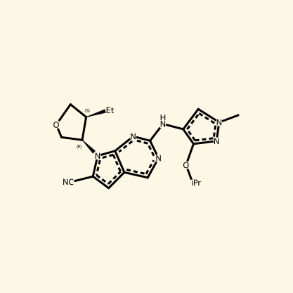 CC[C@@H]1COC[C@@H]1n1c(C#N)cc2cnc(Nc3cn(C)nc3OC(C)C)nc21